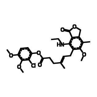 CCNc1c(C/C=C(\C)CCC(=O)Oc2ccc(OC)c(OC)c2Cl)c(OC)c(C)c2c1C(=O)OC2